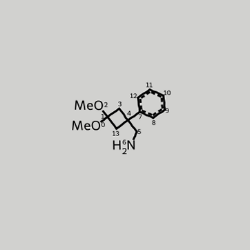 COC1(OC)CC(CN)(c2ccccc2)C1